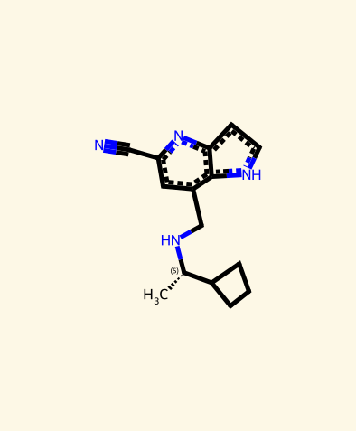 C[C@H](NCc1cc(C#N)nc2cc[nH]c12)C1CCC1